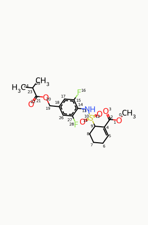 COC(=O)C1=CCCCC1S(=O)(=O)Nc1c(F)cc(COC(=O)C(C)C)cc1F